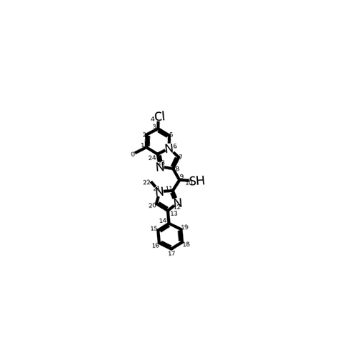 Cc1cc(Cl)cn2cc(C(S)c3nc(-c4ccccc4)cn3C)nc12